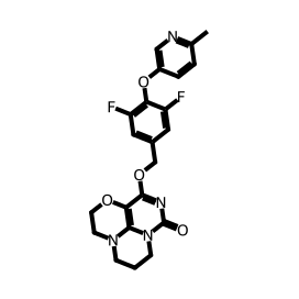 Cc1ccc(Oc2c(F)cc(COc3nc(=O)n4c5c3OCCN5CCC4)cc2F)cn1